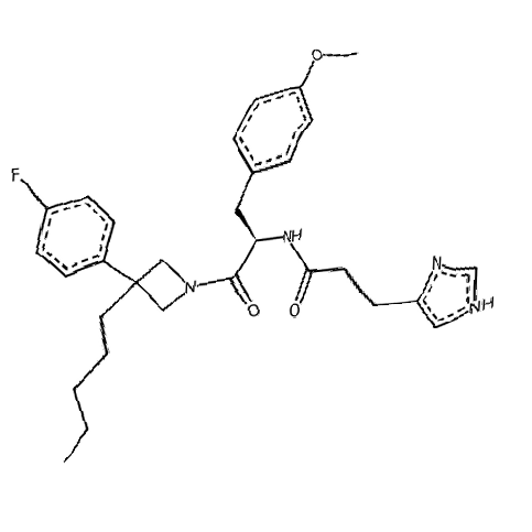 CCCCCC1(c2ccc(F)cc2)CN(C(=O)[C@@H](Cc2ccc(OC)cc2)NC(=O)CCc2c[nH]cn2)C1